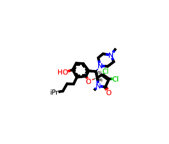 CC(C)CCCc1c(O)ccc2c1O[C@@]1(C(Cl)=C(Cl)C(=O)N1C)[C@H]2N1CCN(C)CC1